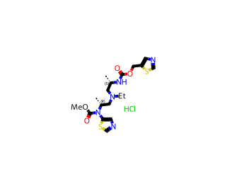 CCN(C[C@@H](C)N(C(=O)OC)c1cncs1)C[C@H](C)NC(=O)OCc1cncs1.Cl